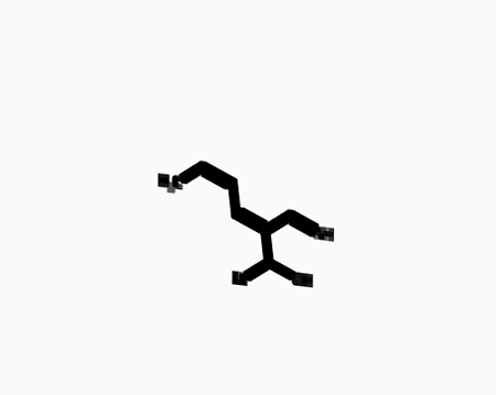 C/C=C\C=C(/C=N)C(O)CC